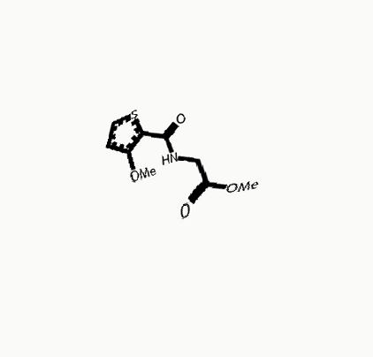 COC(=O)CNC(=O)c1sccc1OC